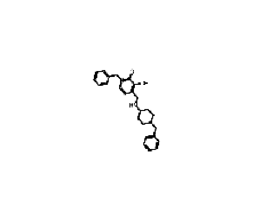 O=c1c(O)c(CNC2CCC(Cc3ccccc3)CC2)ccn1Cc1ccccc1